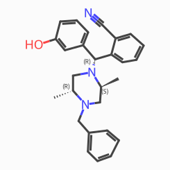 C[C@@H]1CN([C@H](c2cccc(O)c2)c2ccccc2C#N)[C@@H](C)CN1Cc1ccccc1